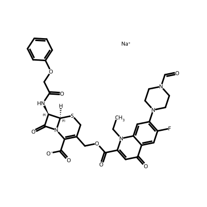 CCn1c(C(=O)OCC2=C(C(=O)[O-])N3C(=O)[C@@H](NC(=O)COc4ccccc4)[C@H]3SC2)cc(=O)c2cc(F)c(N3CCN(C=O)CC3)cc21.[Na+]